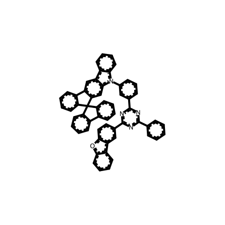 c1ccc(-c2nc(-c3cccc(-n4c5ccccc5c5cc6c(cc54)C4(c5ccccc5-c5ccccc54)c4ccccc4-6)c3)nc(-c3ccc4oc5ccccc5c4c3)n2)cc1